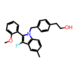 COc1ccccc1-c1c(F)c2cc(C)ccc2n1Cc1ccc(CCO)cc1